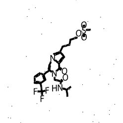 CC(C)NC(=O)Cn1c(-c2cccc(C(F)(F)F)c2)cn2cc(CCCCOS(C)(=O)=O)cc2c1=O